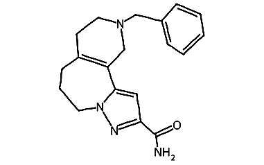 NC(=O)c1cc2n(n1)CCCC1=C2CN(Cc2ccccc2)CC1